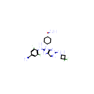 N#Cc1cc(F)c(Nc2nc3cnc(NC4CC(F)(F)C4)nc3n2[C@H]2CC[C@@H](C(N)=O)CC2)c(Cl)c1